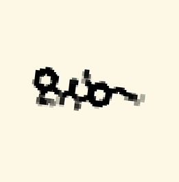 COc1ccccc1NC(=O)Nc1ccc(CC(=O)O)cc1C